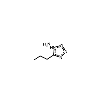 CCCc1nnn[nH]1.N